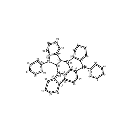 c1ccc(N2c3ccccc3B3c4c2ccc2c5ccccc5n(c42)C2C3c3cncnc3N2c2ccccc2)cc1